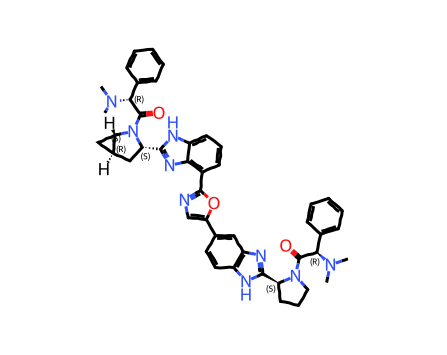 CN(C)[C@@H](C(=O)N1CCC[C@H]1c1nc2cc(-c3cnc(-c4cccc5[nH]c([C@@H]6C[C@H]7C[C@@H]7N6C(=O)[C@@H](c6ccccc6)N(C)C)nc45)o3)ccc2[nH]1)c1ccccc1